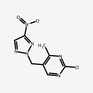 Cc1nc(Cl)ncc1Cn1ncc([N+](=O)[O-])n1